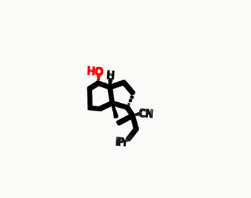 CC(C)C[C@](C)(C#N)[C@H]1CC[C@H]2[C@@H](O)CCC[C@]21C